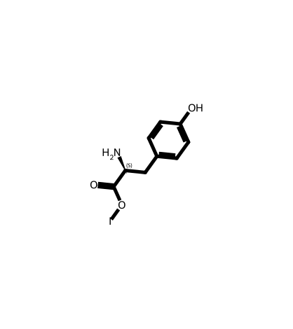 N[C@@H](Cc1ccc(O)cc1)C(=O)OI